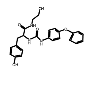 N#CCCNC(=O)C(Cc1ccc(O)cc1)NC(=O)Nc1ccc(Oc2ccccc2)cc1